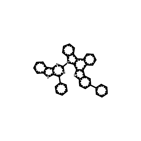 c1ccc(-c2ccc3sc4c(c3c2)c2ccccc2c2c3ccccc3n(-c3nc(-c5ccccc5)c5sc6ccccc6c5n3)c42)cc1